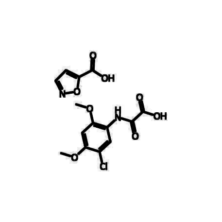 COc1cc(OC)c(NC(=O)C(=O)O)cc1Cl.O=C(O)c1ccno1